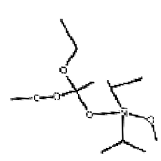 CCOC(C)(OCC)O[Si](OC)(C(C)C)C(C)C